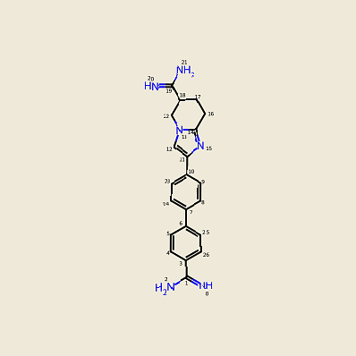 N=C(N)c1ccc(-c2ccc(-c3cn4c(n3)CCC(C(=N)N)C4)cc2)cc1